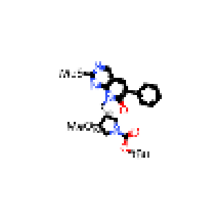 CO[C@@H]1CN(C(=O)OC(C)(C)C)C[C@H]1Cn1c(=O)c(-c2ccccc2)cc2cnc(SC)nc21